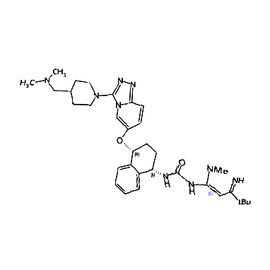 CN/C(=C\C(=N)C(C)(C)C)NC(=O)N[C@H]1CC[C@@H](Oc2ccc3nnc(N4CCC(CN(C)C)CC4)n3c2)c2ccccc21